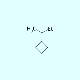 [CH2]CC(C)C1CCC1